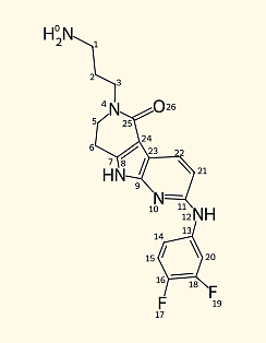 NCCCN1CCc2[nH]c3nc(Nc4ccc(F)c(F)c4)ccc3c2C1=O